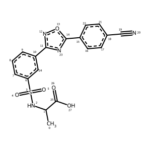 CC(NS(=O)(=O)c1cccc(-c2noc(-c3ccc(C#N)cc3)n2)c1)C(=O)O